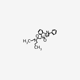 CCCN(CCC)C(=O)Cn1c(=O)n2cc(-c3ccccc3)nc2c2ccccc21